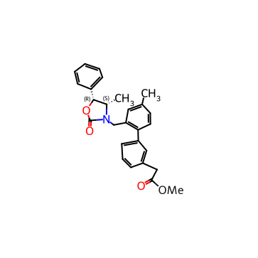 COC(=O)Cc1cccc(-c2ccc(C)cc2CN2C(=O)O[C@H](c3ccccc3)[C@@H]2C)c1